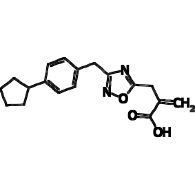 C=C(Cc1nc(Cc2ccc(C3CCCC3)cc2)no1)C(=O)O